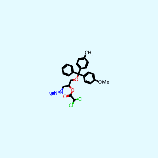 COc1ccc(C(OCC(CN=[N+]=[N-])OC(=O)C(Cl)Cl)(c2ccccc2)c2ccc(C)cc2)cc1